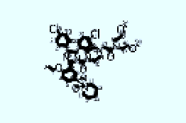 CCOc1ccc(S(=O)(=O)N2CCCCC2)cc1C1=N[C@@H](c2ccc(Cl)cc2)[C@@H](c2ccc(Cl)cc2)N1C(=O)N1CCN(CC(=O)N(CCOC)CCOC)CC1